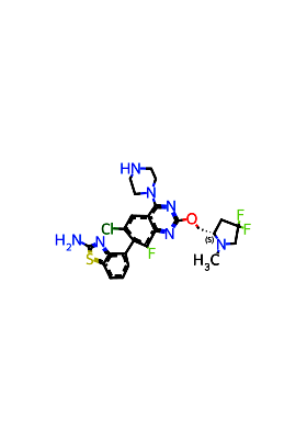 CN1CC(F)(F)C[C@H]1COc1nc(N2CCNCC2)c2cc(Cl)c(-c3cccc4sc(N)nc34)c(F)c2n1